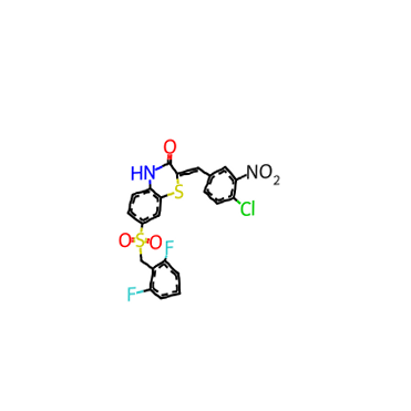 O=C1Nc2ccc(S(=O)(=O)Cc3c(F)cccc3F)cc2S/C1=C\c1ccc(Cl)c([N+](=O)[O-])c1